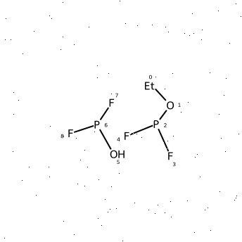 CCOP(F)F.OP(F)F